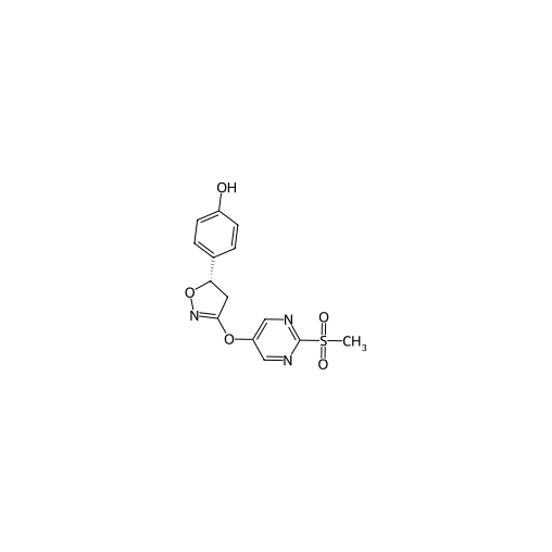 CS(=O)(=O)c1ncc(OC2=NO[C@H](c3ccc(O)cc3)C2)cn1